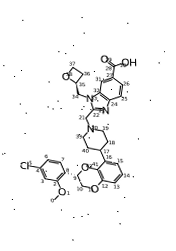 COc1cc(Cl)ccc1[C@H]1COc2cccc(C3CCN(Cc4nc5ccc(C(=O)O)cc5n4C[C@@H]4CCO4)CC3)c2O1